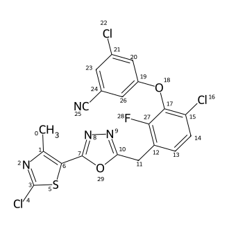 Cc1nc(Cl)sc1-c1nnc(Cc2ccc(Cl)c(Oc3cc(Cl)cc(C#N)c3)c2F)o1